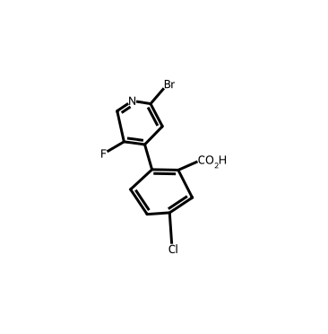 O=C(O)c1cc(Cl)ccc1-c1cc(Br)ncc1F